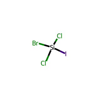 Cl[Si](Cl)(Br)I